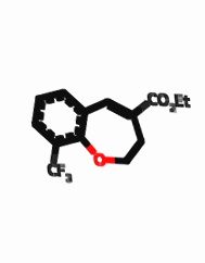 CCOC(=O)C1=Cc2cccc(C(F)(F)F)c2OCC1